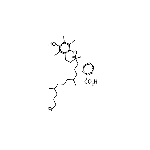 Cc1c(C)c2c(c(C)c1O)CC[C@@](C)(CCCC(C)CCCC(C)CCCC(C)C)O2.O=C(O)c1ccccc1